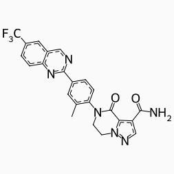 Cc1cc(-c2ncc3cc(C(F)(F)F)ccc3n2)ccc1N1CCn2ncc(C(N)=O)c2C1=O